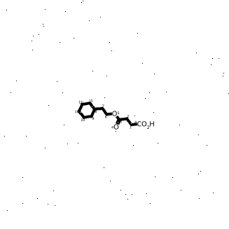 O=C(O)CCC(=O)OCCC1CCCCC1